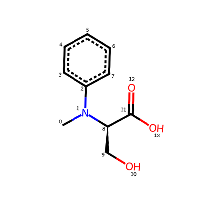 CN(c1ccccc1)[C@H](CO)C(=O)O